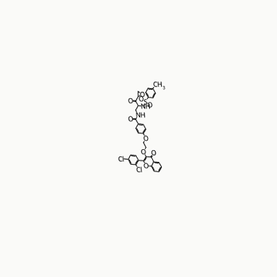 Cc1ccc(S(=O)(=O)NC(CNC(=O)c2ccc(OCCOc3c(-c4ccc(Cl)cc4Cl)oc4ccccc4c3=O)cc2)C(=O)C2CO2)cc1